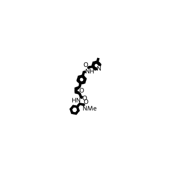 CNC(=O)[C@@H](NC(=O)c1ccc(-c2ccc(CNC(=O)c3cncc(C)c3)cc2)o1)C1CCCCC1